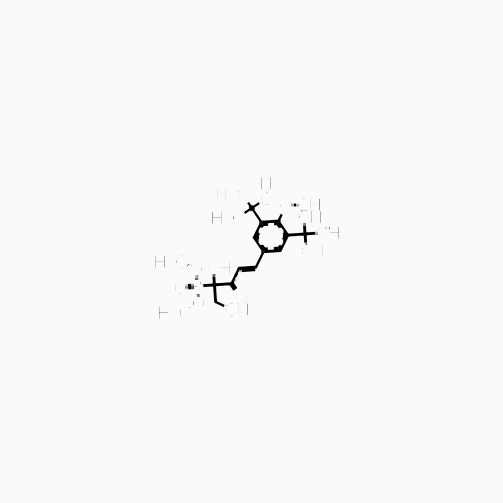 CCC(C)(C(=O)C=Cc1cc(C(C)(C)C)c(OC)c(C(C)(C)C)c1)P(=O)(OC)OC